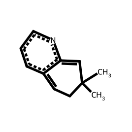 CC1(C)C=c2ncccc2=CC1